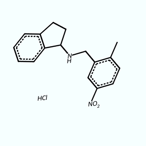 Cc1ccc([N+](=O)[O-])cc1CNC1CCc2ccccc21.Cl